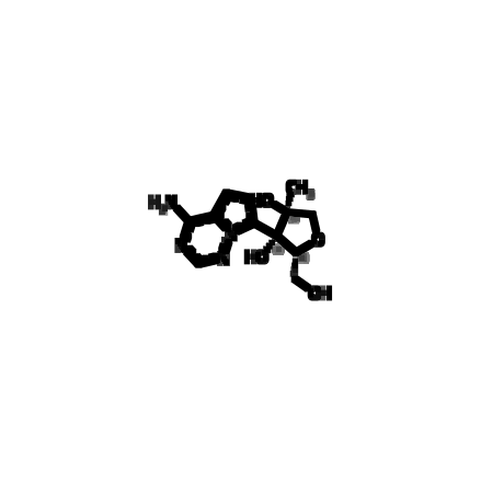 C[C@]1(O)CO[C@H](CO)[C@@]1(O)c1ccc2c(N)ncnn12